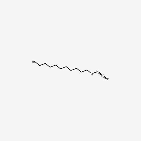 [N-]=[N+]=NOCCCCCCCCCCS